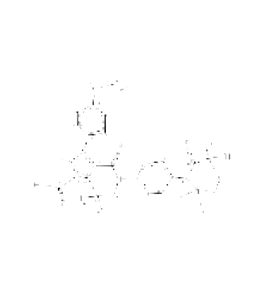 [2H]C1([2H])CCC([2H])([2H])N(c2ccc(N3CC([2H])([2H])c4c(C(N)=O)nn(-c5ccc(OC)cc5)c4C3=O)cc2)C1=O